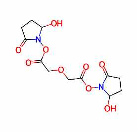 O=C(COCC(=O)ON1C(=O)CCC1O)ON1C(=O)CCC1O